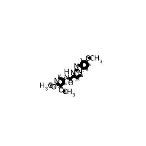 COc1ccc2c(c1)nc1nc(C(=O)Nc3cnc(OC)c(OC)c3)ccn12